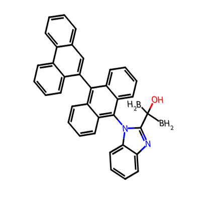 BC(B)(O)c1nc2ccccc2n1-c1c2ccccc2c(-c2cc3ccccc3c3ccccc23)c2ccccc12